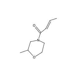 CC=CC(=O)N1CCOC(C)C1